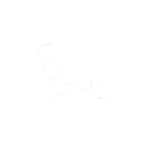 CO[Si](CCc1cccc2c1Cc1ccccc1[S+]2[O-])(OC)OC